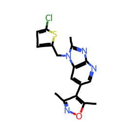 Cc1noc(C)c1-c1cnc2nc(C)n(Cc3ccc(Cl)s3)c2c1